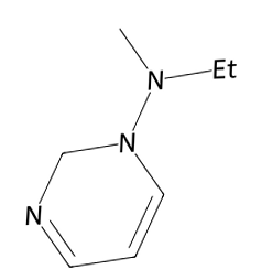 CCN(C)N1C=CC=NC1